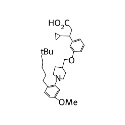 COc1ccc(CCCCCC(C)(C)C)c(N2CCC(COc3cccc(C(CC(=O)O)C4CC4)c3)CC2)c1